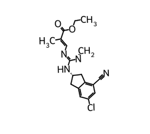 C=N/C(=N\C=C(/C)C(=O)OCC)N[C@H]1Cc2cc(Cl)cc(C#N)c2C1